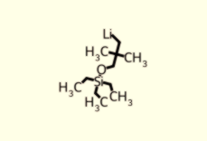 [Li][CH2]C(C)(C)CO[Si](CC)(CC)CC